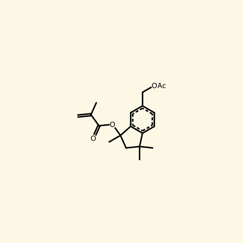 C=C(C)C(=O)OC1(C)CC(C)(C)c2ccc(COC(C)=O)cc21